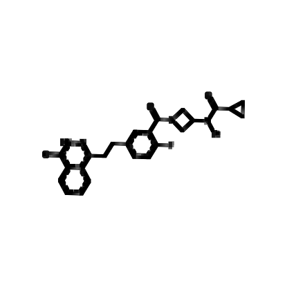 CCN(C(=O)C1CC1)C1CN(C(=O)c2cc(CCc3n[nH]c(=O)c4ccccc34)ccc2F)C1